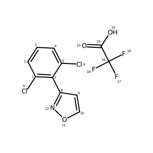 Clc1cccc(Cl)c1-c1ccon1.O=C(O)C(F)(F)F